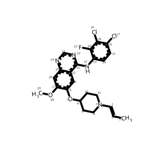 CC=CN1CCC(Oc2cc3c(Nc4ccc(Cl)c(Cl)c4F)ncnc3cc2OC)CC1